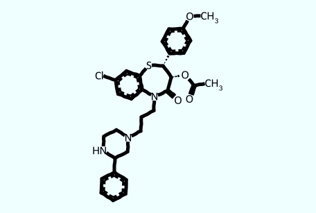 COc1ccc([C@H]2Sc3cc(Cl)ccc3N(CCCN3CCNC(c4ccccc4)C3)C(=O)[C@H]2OC(C)=O)cc1